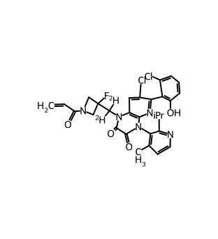 [2H]C([2H])(n1c(=O)c(=O)n(-c2c(C)ccnc2C(C)C)c2nc(-c3c(O)cccc3Cl)c(Cl)cc21)C1(F)CN(C(=O)C=C)C1